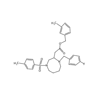 Cc1ccc(S(=O)(=O)N2CCCCN(Cc3ccc(F)cc3)C(CC(=O)OCc3cccc(C)c3)C2)cc1